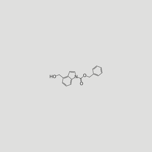 O=C(OCc1ccccc1)n1ccc2c(CO)cccc21